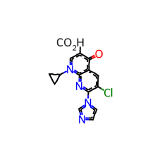 O=C(O)c1cn(C2CC2)c2nc(-n3ccnc3)c(Cl)cc2c1=O